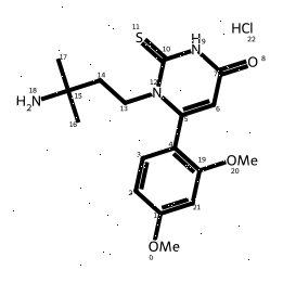 COc1ccc(-c2cc(=O)[nH]c(=S)n2CCC(C)(C)N)c(OC)c1.Cl